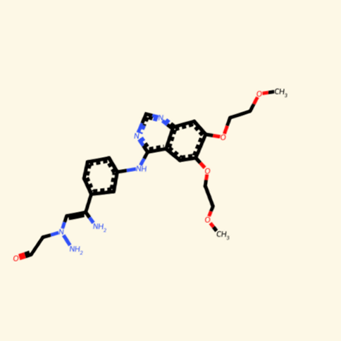 COCCOc1cc2ncnc(Nc3cccc(/C(N)=C/N(N)CC=O)c3)c2cc1OCCOC